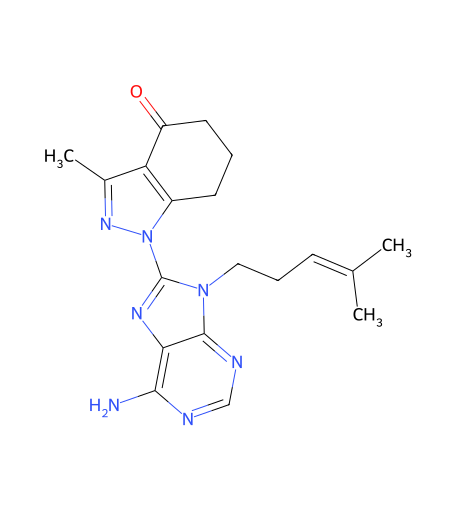 CC(C)=CCCn1c(-n2nc(C)c3c2CCCC3=O)nc2c(N)ncnc21